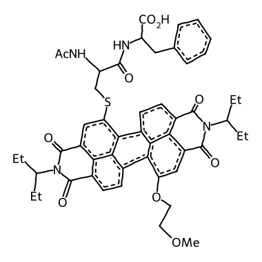 CCC(CC)N1C(=O)c2ccc3c4c(SCC(NC(C)=O)C(=O)NC(Cc5ccccc5)C(=O)O)cc5c6c(ccc(c7c(OCCOC)cc(c2c37)C1=O)c64)C(=O)N(C(CC)CC)C5=O